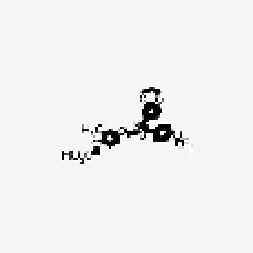 Cc1cc(OCc2nc(-c3ccc4c(c3)OCCCO4)c(-c3ccc(OC(F)(F)F)cc3)o2)ccc1OCC(=O)O